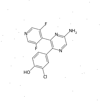 Nc1cnc(-c2ccc(O)c(Cl)c2)c(-c2c(F)cncc2F)n1